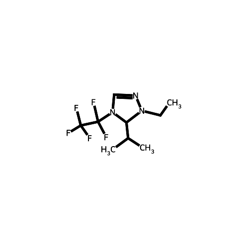 CCN1N=CN(C(F)(F)C(F)(F)F)C1C(C)C